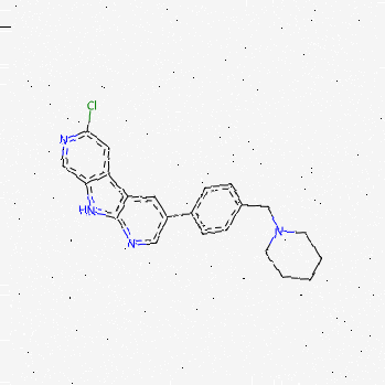 Clc1cc2c(cn1)[nH]c1ncc(-c3ccc(CN4CCCCC4)cc3)cc12